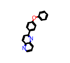 c1ccc(Oc2ccc(-c3ccc4ncccc4n3)cc2)cc1